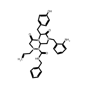 C=CCN1CC(=O)N2C(Cc3ccc(O)cc3)C(=O)N(Cc3ccccc3N)CC2N1C(=O)NCc1ccccc1